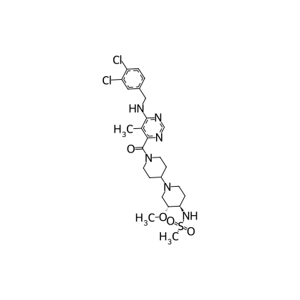 CO[C@@H]1CN(C2CCN(C(=O)c3ncnc(NCc4ccc(Cl)c(Cl)c4)c3C)CC2)CC[C@H]1NS(C)(=O)=O